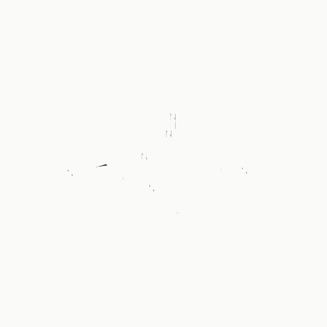 N#Cc1csc2cccc(-c3c(Cl)cc4c(N5CC6CCC(C5)N6)nc(OC[C@@]56CCCN5C[C@H](F)C6)nc4c3F)c12